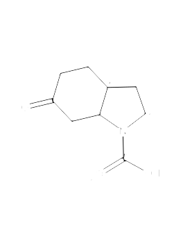 O=C1CCC2CCN(C(=O)O)C2C1